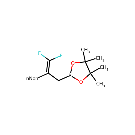 CCCCCCCCCC(CB1OC(C)(C)C(C)(C)O1)=C(F)F